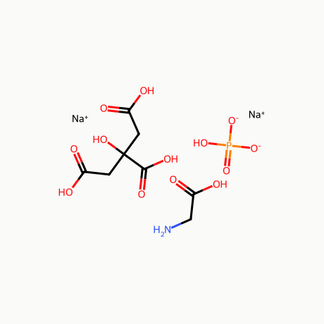 NCC(=O)O.O=C(O)CC(O)(CC(=O)O)C(=O)O.O=P([O-])([O-])O.[Na+].[Na+]